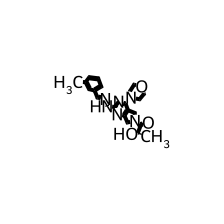 Cc1cccc(/C=N/Nc2nc3c(c(N4CCOCC4)n2)CN(C(=O)[C@H](C)O)C3)c1